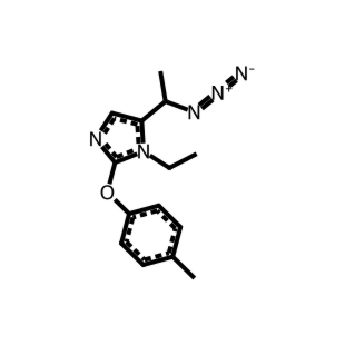 CCn1c(C(C)N=[N+]=[N-])cnc1Oc1ccc(C)cc1